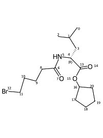 CC(C)C[C@@H](NC(=O)CCCCBr)C(=O)OC1CCCC1